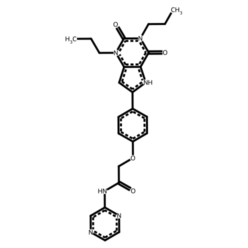 CCCn1c(=O)c2[nH]c(-c3ccc(OCC(=O)Nc4cnccn4)cc3)cc2n(CCC)c1=O